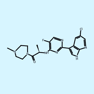 C[C@@H](Nc1nc(-c2c[nH]c3ncc(Cl)cc23)ncc1F)C(=O)N1CCN(C)CC1